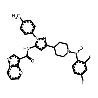 Cc1ccc(-n2nc(C3CCN([S+]([O-])c4ccc(F)cc4F)CC3)cc2NC(=O)c2cnn3cccnc23)cc1